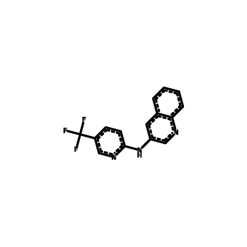 FC(F)(F)c1ccc(Nc2cnc3ccccc3c2)nc1